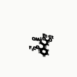 CCOC(CC(=COC)c1ccccc1OC(F)(F)F)OCC